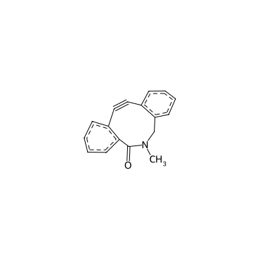 CN1Cc2ccccc2C#Cc2ccccc2C1=O